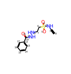 C#CNS(=O)(=O)CCNNC(=O)c1ccccc1